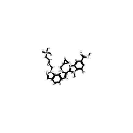 COC(=O)c1cc(F)c2c(c1)nc(-c1cc3ccc4cnn(COCC[Si](C)(C)C)c4c3n1CC1CC1)n2C